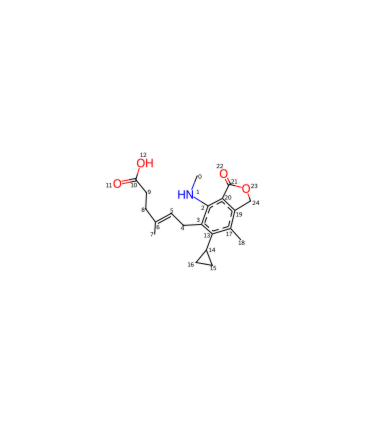 CNc1c(C/C=C(\C)CCC(=O)O)c(C2CC2)c(C)c2c1C(=O)OC2